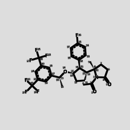 CC(=O)N1C(=O)CC[C@]1(C)[C@@H]1CC[C@H](O[C@H](C)c2cc(C(F)(F)F)cc(C(F)(F)F)c2)[C@H]1c1ccc(F)cc1